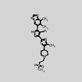 Cc1nc(-c2n[nH]c(-c3cn4ncnc4c(C)c3C)c2C(C)C)sc1C1CCN(CCS(C)(=O)=O)CC1